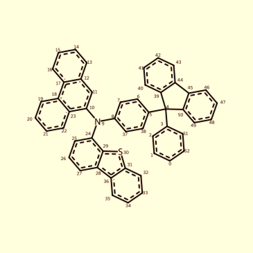 c1ccc(C2(c3ccc(N(c4cc5ccccc5c5ccccc45)c4cccc5c4sc4ccccc45)cc3)c3ccccc3-c3ccccc32)cc1